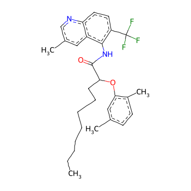 CCCCCCCCC(Oc1cc(C)ccc1C)C(=O)Nc1c(C(F)(F)F)ccc2ncc(C)cc12